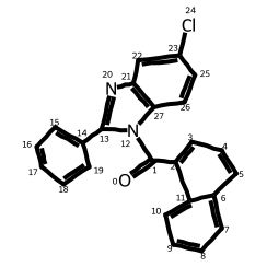 O=C(c1cccc2ccccc12)n1c(-c2ccccc2)nc2cc(Cl)ccc21